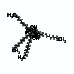 CCCCCCCCCCCCCC(CC(C)(C)C(C(CCCCCCCCCCCCC)C(O)=S)(C(CCCCCCCCCCCCC)C(O)=S)C(CCCCCCCCCCCCC)C(O)=S)C(O)=S